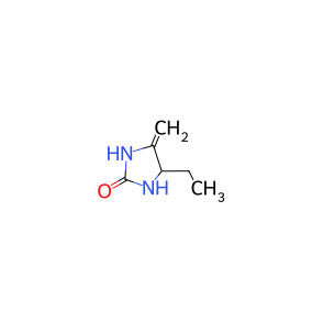 C=C1NC(=O)NC1CC